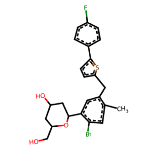 Cc1cc(Br)c(C2CC(O)CC(CO)O2)cc1Cc1ccc(-c2ccc(F)cc2)s1